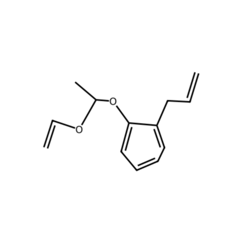 C=CCc1ccccc1OC(C)OC=C